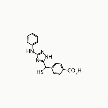 O=C(O)c1ccc(C(S)c2nc(Nc3ccccc3)n[nH]2)cc1